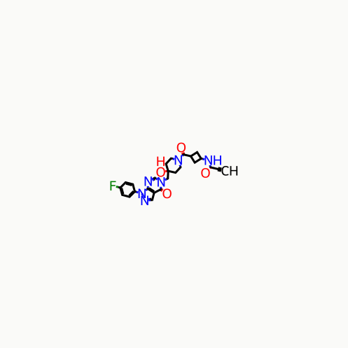 C#CC(=O)NC1CC(C(=O)N2CCC(O)(Cn3cnc4c(cnn4-c4ccc(F)cc4)c3=O)CC2)C1